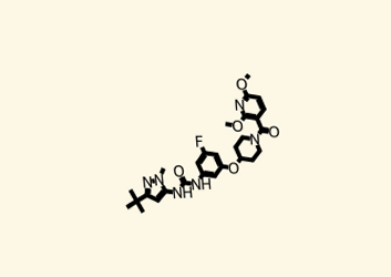 COc1ccc(C(=O)N2CCC(Oc3cc(F)cc(NC(=O)Nc4cc(C(C)(C)C)nn4C)c3)CC2)c(OC)n1